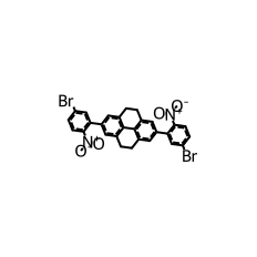 O=[N+]([O-])c1ccc(Br)cc1-c1cc2c3c(c1)CCc1cc(-c4cc(Br)ccc4[N+](=O)[O-])cc(c1-3)CC2